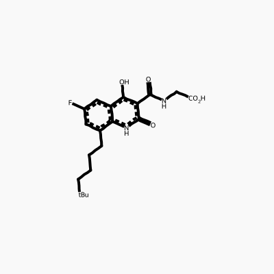 CC(C)(C)CCCCc1cc(F)cc2c(O)c(C(=O)NCC(=O)O)c(=O)[nH]c12